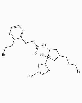 O=C(COc1ccccc1CCBr)OC1CN(CCCCl)C[N+]1([O-])c1ncc(Br)s1